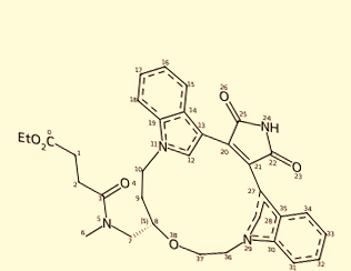 CCOC(=O)CCC(=O)N(C)C[C@@H]1CCn2cc(c3ccccc32)C2=C(C(=O)NC2=O)c2cn(c3ccccc23)CCO1